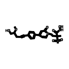 COC(CO)CC#Cc1ccc(-c2ccn(CCC(C)(C(=O)NO)S(C)(=O)=O)c(=O)c2)cc1